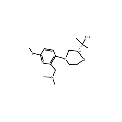 CSc1ccc(N2CCO[C@@H](C(C)(C)O)C2)c(CN(C)C)n1